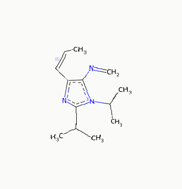 C=Nc1c(/C=C\C)nc(C(C)C)n1C(C)C